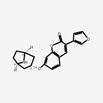 O=c1oc2cc(O[C@@H]3C[C@H]4CC[C@@H](C3)N4)ccc2cc1-c1ccoc1